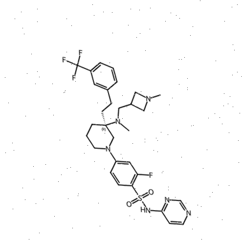 CN1CC(CN(C)[C@]2(CCc3cccc(C(F)(F)F)c3)CCCN(c3ccc(S(=O)(=O)Nc4ccncn4)c(F)c3)C2)C1